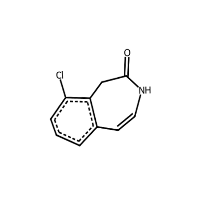 O=C1Cc2c(Cl)cccc2C=CN1